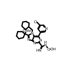 COC1(c2nc3nc(C(=N)NOO)nc(-c4cncc(Cl)c4)c3n2CC2CCCCC2)CCCCC1